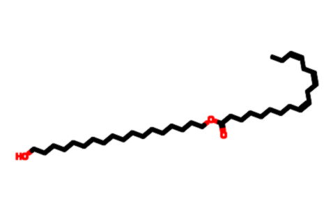 CC/C=C\C/C=C\C/C=C\CCCCCCCC(=O)OCCCCCCCCCCCCCCCCCCO